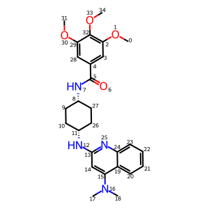 COc1cc(C(=O)N[C@H]2CC[C@@H](Nc3cc(N(C)C)c4ccccc4n3)CC2)cc(OC)c1OC